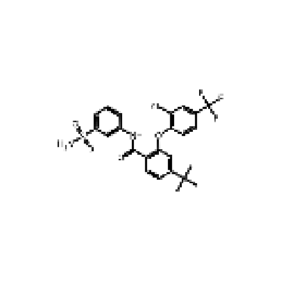 CC(C)(C)c1ccc(C(=O)Nc2cccc(S(N)(=O)=O)c2)c(Oc2ccc(C(F)(F)F)cc2Cl)c1